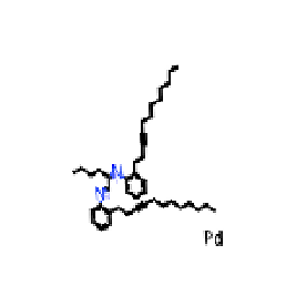 CCCCCCCCC#CCCc1ccccc1/N=C(\C=N\c1ccccc1CCC#CCCCCCCCC)CCCC.[Pd]